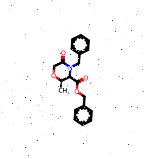 C[C@H]1OCC(=O)N(Cc2ccccc2)C1C(=O)OCc1ccccc1